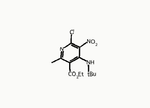 CCOC(=O)c1c(C)nc(Cl)c([N+](=O)[O-])c1NC(C)(C)C